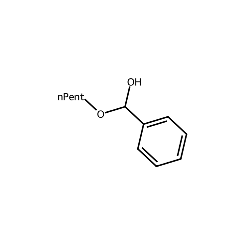 CCCCCOC(O)c1ccccc1